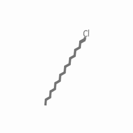 CCCCCCCCCCCCCCCC=CCl